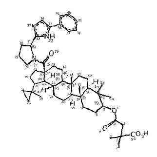 CC(C)(CC(=O)O[C@H]1CC[C@]2(C)[C@H]3CC[C@@H]4[C@H]5C(C6(C)CC6)CC[C@]5(C(=O)N5CCC[C@H]5c5ncc(-c6ccccc6)[nH]5)CC[C@@]4(C)[C@]3(C)CC[C@H]2C1(C)C)C(=O)O